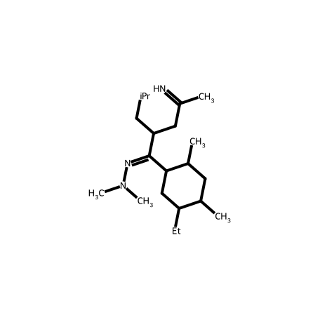 CCC1CC(/C(=N\N(C)C)C(CC(C)=N)CC(C)C)C(C)CC1C